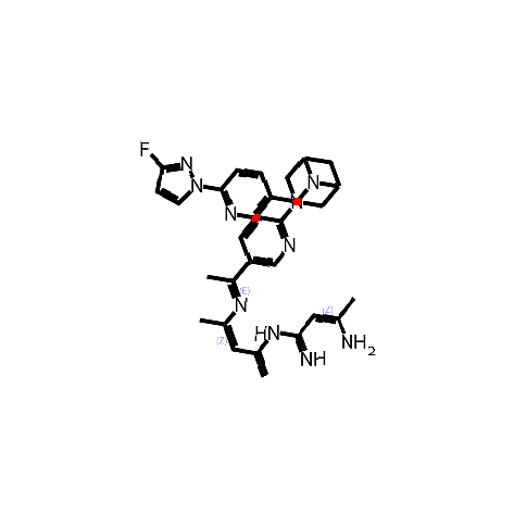 C=C(/C=C(C)\N=C(/C)c1ccc(N2CC3CC(C2)N3Cc2ccc(-n3ccc(F)n3)nc2)nc1)NC(=N)/C=C(/C)N